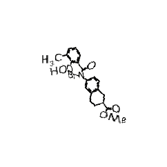 COC(=O)C1CCc2cc(N(Br)C(=O)c3cccc(C)c3OO)ccc2C1